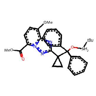 COC(=O)c1ccc(OC)c2nc(C3(C(O[SiH2]C(C)(C)C)(c4ccccc4)c4ccccc4)CC3)nn12